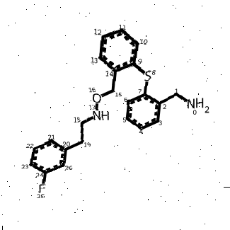 NCc1ccccc1Sc1ccccc1CONCCc1cccc(F)c1